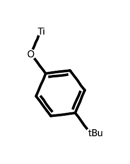 CC(C)(C)c1ccc([O][Ti])cc1